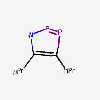 CCCC1=C(CCC)P=P[N]1